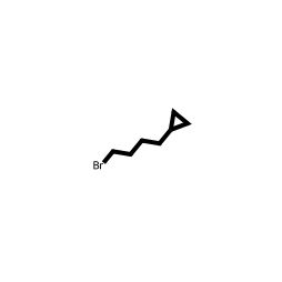 BrCCCCC1CC1